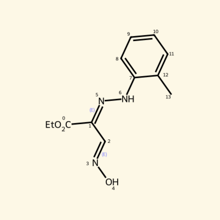 CCOC(=O)C(/C=N/O)=N/Nc1ccccc1C